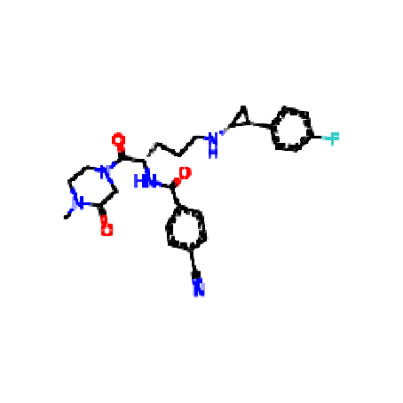 CN1CCN(C(=O)[C@H](CCCN[C@@H]2C[C@H]2c2ccc(F)cc2)NC(=O)c2ccc(C#N)cc2)CC1=O